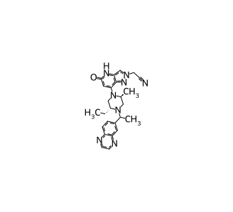 CC[C@@H]1CN(c2cc(=O)[nH]c3cn(CC#N)nc23)[C@@H](C)CN1C(C)c1ccc2nccnc2c1